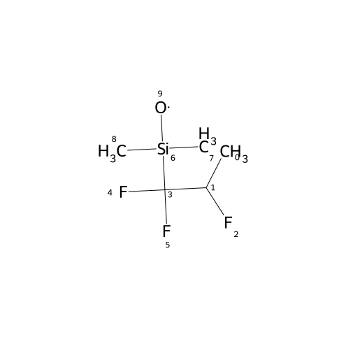 CC(F)C(F)(F)[Si](C)(C)[O]